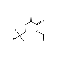 C=C(CCC(F)(F)F)C(=O)OCC